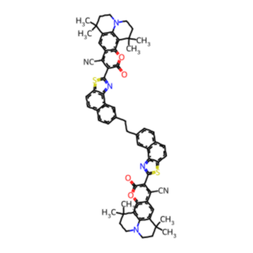 CC1(C)CCN2CCC(C)(C)c3c2c1cc1c(C#N)c(-c2nc4c(ccc5ccc(CCc6ccc7ccc8sc(-c9c(C#N)c%10cc%11c%12c(c%10oc9=O)C(C)(C)CCN%12CCC%11(C)C)nc8c7c6)cc54)s2)c(=O)oc31